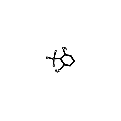 CC1CCCC(C)C1[Si](Cl)(Cl)Cl